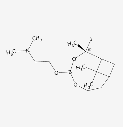 CN(C)CCOB1OCCC2CC(C2(C)C)[C@@](C)(I)O1